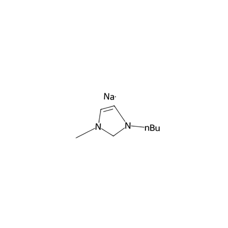 CCCCN1C=CN(C)C1.[Na]